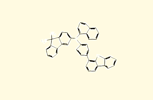 CC1(C)c2ccccc2-c2cc(N(c3ccc(-c4cccc5c4oc4ccccc45)cc3)c3cccc4ccccc34)ccc21